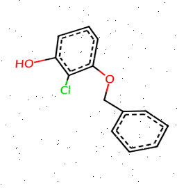 Oc1cccc(OCc2ccccc2)c1Cl